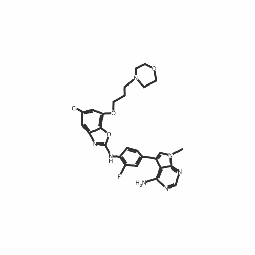 Cn1cc(-c2ccc(Nc3nc4cc(Cl)cc(OCCCN5CCOCC5)c4o3)c(F)c2)c2c(N)ncnc21